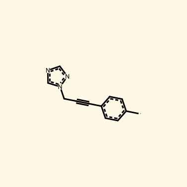 [CH2]c1ccc(C#CCn2cncn2)cc1